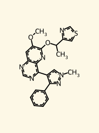 COc1cc2ncnc(-c3cn(C)nc3-c3ccccc3)c2nc1OC(C)c1cscn1